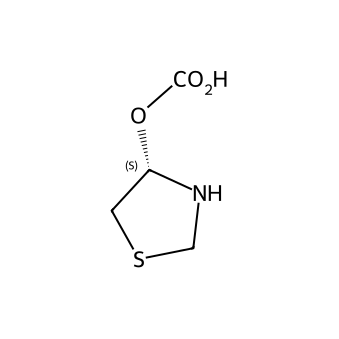 O=C(O)O[C@H]1CSCN1